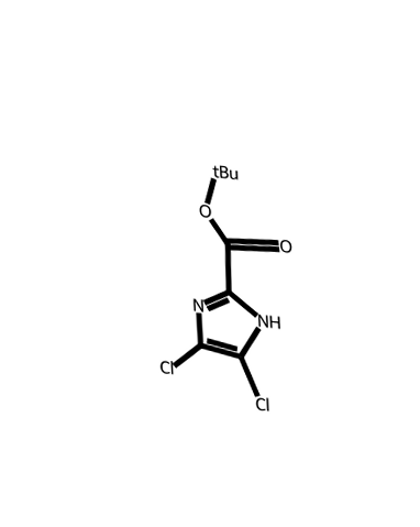 CC(C)(C)OC(=O)c1nc(Cl)c(Cl)[nH]1